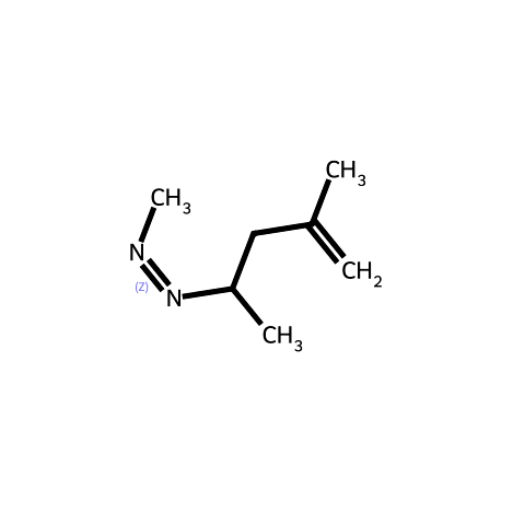 C=C(C)CC(C)/N=N\C